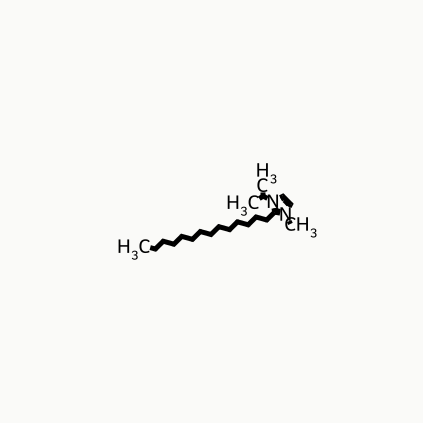 CCCCCCCCCCCCCCc1n(C)cc[n+]1C(C)C